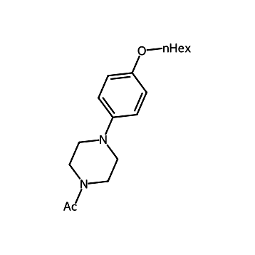 CCCCCCOc1ccc(N2CCN(C(C)=O)CC2)cc1